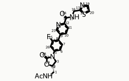 CC(=O)NC[C@H]1CN(c2ccc(-c3ccc(C(=O)NCc4nccs4)nc3)c(F)c2)C(=O)O1